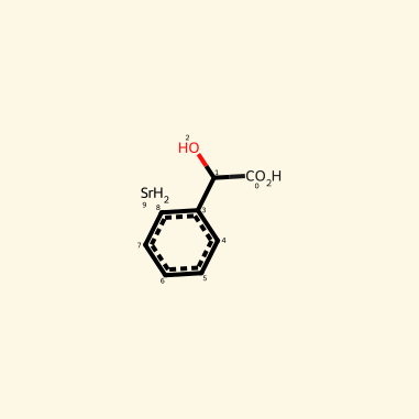 O=C(O)C(O)c1ccccc1.[SrH2]